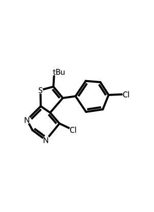 CC(C)(C)c1sc2ncnc(Cl)c2c1-c1ccc(Cl)cc1